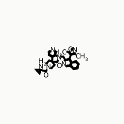 Cc1noc(C)c1-c1c(CN2C(=O)C3(CCN(C(=O)C4(N)CC4)CC3)c3ccncc32)ncc2ccccc12